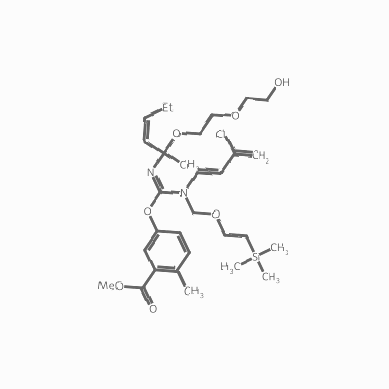 C=C(Cl)/C=C/N(COCC[Si](C)(C)C)/C(=N\C(C)(/C=C\CC)OCCOCCO)Oc1ccc(C)c(C(=O)OC)c1